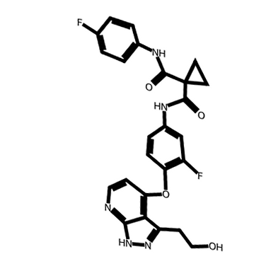 O=C(Nc1ccc(F)cc1)C1(C(=O)Nc2ccc(Oc3ccnc4[nH]nc(CCO)c34)c(F)c2)CC1